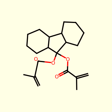 C=C(C)C(=O)OC1(OC(=O)C(=C)C)C2CCCCC2C2CCCCC21